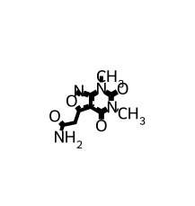 Cn1c(=O)c2c(CC(N)=O)onc2n(C)c1=O